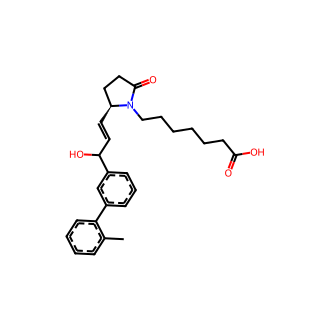 Cc1ccccc1-c1cccc(C(O)/C=C/[C@H]2CCC(=O)N2CCCCCCC(=O)O)c1